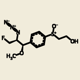 CO[C@H](c1ccc([S+]([O-])CCO)cc1)[C@@H](CF)N=[N+]=[N-]